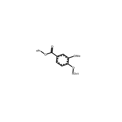 CCCCCCCCOc1ccc(C(=O)OCCC)cc1OC